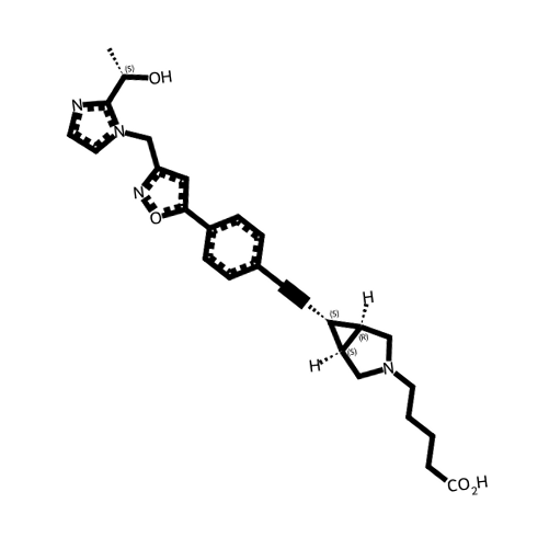 C[C@H](O)c1nccn1Cc1cc(-c2ccc(C#C[C@@H]3[C@H]4CN(CCCCC(=O)O)C[C@@H]34)cc2)on1